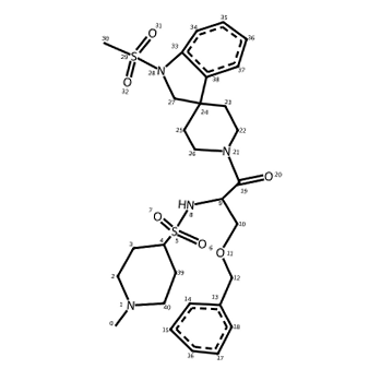 CN1CCC(S(=O)(=O)NC(COCc2ccccc2)C(=O)N2CCC3(CC2)CN(S(C)(=O)=O)c2ccccc23)CC1